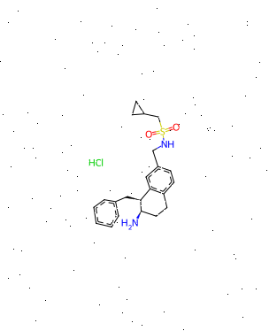 Cl.N[C@@H]1CCc2ccc(CNS(=O)(=O)CC3CC3)cc2[C@@H]1Cc1ccccc1